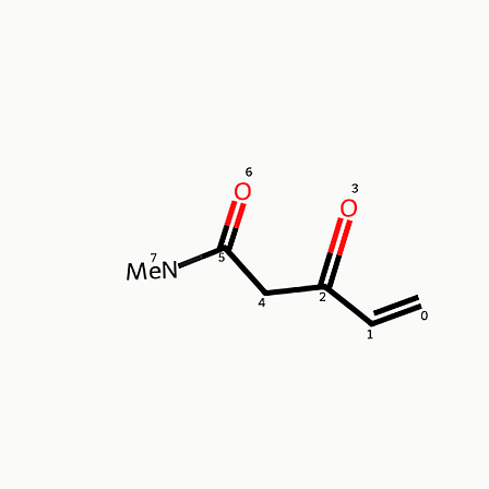 C=CC(=O)CC(=O)NC